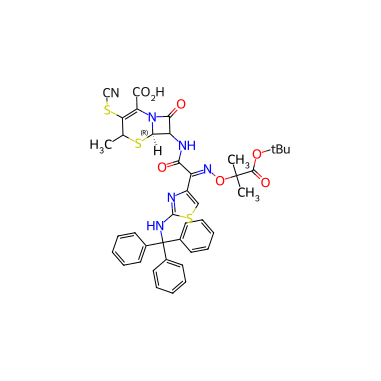 CC1S[C@@H]2C(NC(=O)C(=NOC(C)(C)C(=O)OC(C)(C)C)c3csc(NC(c4ccccc4)(c4ccccc4)c4ccccc4)n3)C(=O)N2C(C(=O)O)=C1SC#N